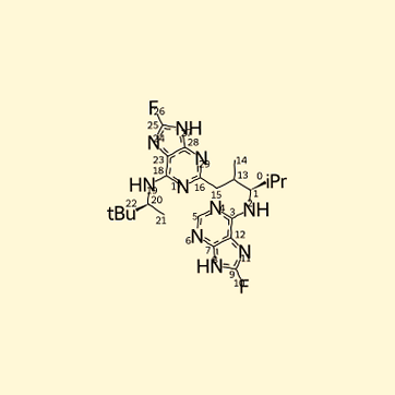 CC(C)[C@@H](Nc1ncnc2[nH]c(F)nc12)C(C)Cc1nc(N[C@@H](C)C(C)(C)C)c2nc(F)[nH]c2n1